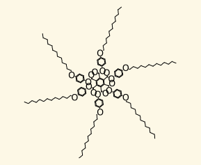 CCCCCCCCCCCCCOc1ccc(OC(=O)c2c(C(=O)Oc3ccc(OCCCCCCCCCCCCC)cc3)c(C(=O)Oc3ccc(OCCCCCCCCCCCCC)cc3)c(C(=O)Oc3ccc(OCCCCCCCCCCCCC)cc3)c(C(=O)Oc3ccc(OCCCCCCCCCCCCC)cc3)c2C(=O)Oc2ccc(OCCCCCCCCCCCCC)cc2)cc1